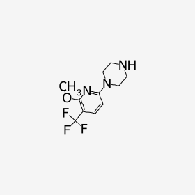 COc1nc(N2CCNCC2)ccc1C(F)(F)F